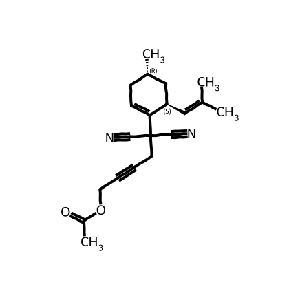 CC(=O)OCC#CCC(C#N)(C#N)C1=CC[C@H](C)C[C@H]1C=C(C)C